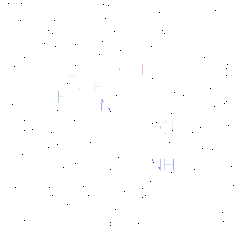 Nc1ccc2c(cc(CO)n2CC(F)(F)F)c1Cl